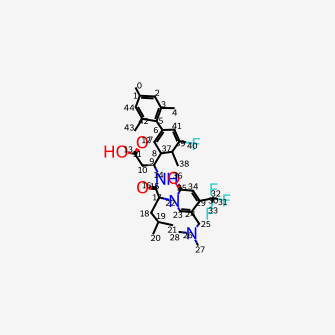 Cc1cc(C)c(C2=CC([C@H](CC(=O)O)NC(=O)C(CC(C)C)n3cc(CN(C)C)c(C(F)(F)F)cc3=O)C(C)C(F)=C2)c(C)c1